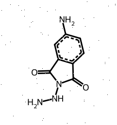 NNN1C(=O)c2ccc(N)cc2C1=O